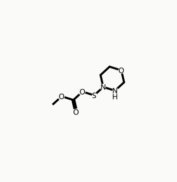 COC(=O)OSN1CCOCN1